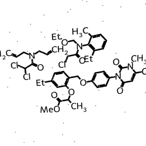 C=CCN(CC=C)C(=O)C(Cl)Cl.CCOCN(C(=O)CCl)c1c(C)cccc1CC.CCc1ccc(COc2ccc(-n3c(=O)cc(C(F)(F)F)n(C)c3=O)cc2)c(OC(C)C(=O)OC)c1